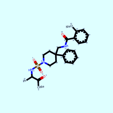 COC(=O)C(NS(=O)(=O)N1CCC(CNC(=O)c2ccccc2OC)(c2ccccc2)CC1)C(C)C